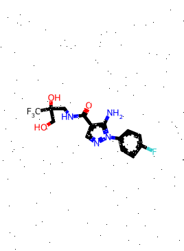 Nc1c(C(=O)NCC(O)(CO)C(F)(F)F)cnn1-c1ccc(F)cc1